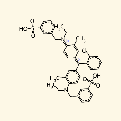 CCN(Cc1cccc(S(=O)(=O)O)c1)c1ccc(/C(=C2C=C/C(=[N+](/CC)Cc3cccc(S(=O)(=O)O)c3)C(C)=C\2)c2ccccc2Cl)cc1C